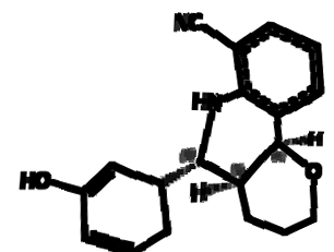 N#Cc1cccc2c1N[C@@H](C1C=C(O)C=CC1)[C@@H]1CCCO[C@H]21